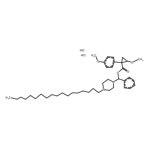 CCCCCCCCCCCCCCCCCCN1CCN(C(OC(=O)C2(c3ccc(OC)cc3)CC2OC)c2ccccc2)CC1.Cl.Cl